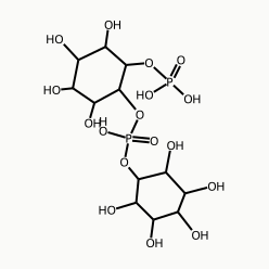 O=P(O)(O)OC1C(O)C(O)C(O)C(O)C1OP(=O)(O)OC1C(O)C(O)C(O)C(O)C1O